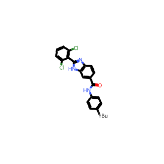 CCCCc1ccc(NC(=O)c2ccc3nc(-c4c(Cl)cccc4Cl)[nH]c3c2)cc1